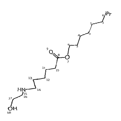 CC(C)CCCCCCOC(=O)CCCCCNCCO